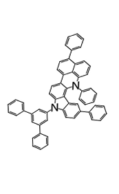 c1ccc(-c2cc(-c3ccccc3)cc(-n3c4ccc(-c5ccccc5)cc4c4c5c(ccc43)-c3ccc(-c4ccccc4)c4cccc(c34)N5c3ccccc3)c2)cc1